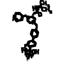 CC(C)NC(=O)C[C@@H]1CN(Cc2ccc(-c3ccc(C(O)(C(F)(F)F)C(F)(F)F)cc3)cc2)CCN1Cc1ccncc1